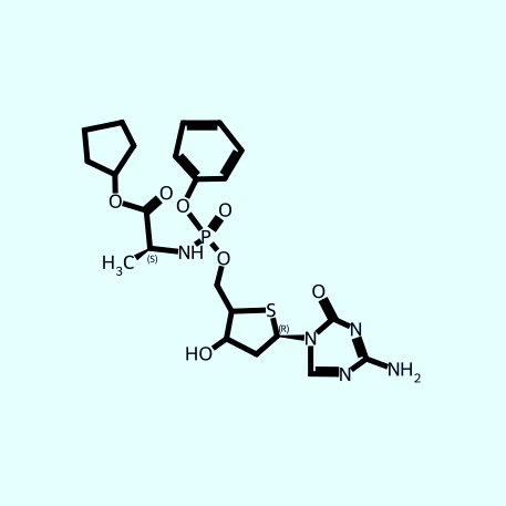 C[C@H](NP(=O)(OCC1S[C@@H](n2cnc(N)nc2=O)CC1O)Oc1ccccc1)C(=O)OC1CCCC1